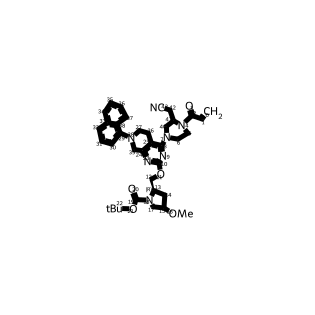 C=CC(=O)N1CCN(c2nc(OC[C@H]3CC(OC)CN3C(=O)OC(C)(C)C)nc3c2CCN(c2cccc4ccccc24)C3)CC1CC#N